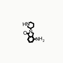 Nc1cccc2c1CN(C1CCCNC1)C2=O